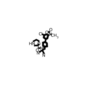 Cn1c(=O)oc2c(Cl)cc(-c3ccc(CC(C#N)(C#N)NC(=O)[C@@H]4CNCCCO4)cc3)cc21